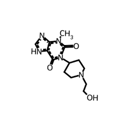 Cn1c(=O)n(C2CCN(CCO)CC2)c(=O)c2[nH]cnc21